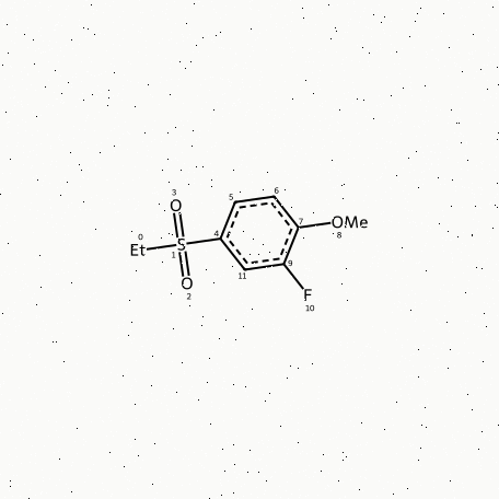 CCS(=O)(=O)c1ccc(OC)c(F)c1